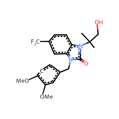 COc1ccc(Cn2c(=O)n(C(C)(C)CO)c3ccc(C(F)(F)F)cc32)cc1OC